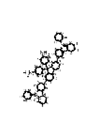 C[C@]12C=CC=CC1c1cc(-c3ccc4c(c3)C(c3ccc(N)cc3)(c3ccc(N)cc3)c3cc(-c5ccc6c(c5)c5ccccc5n6-c5ccccc5)ccc3-4)ccc1N2c1ccccc1